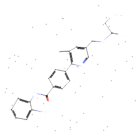 COCC(C)NCc1cnc(-c2ccc(C(=O)Nc3ccccc3N)cc2)c(C)c1